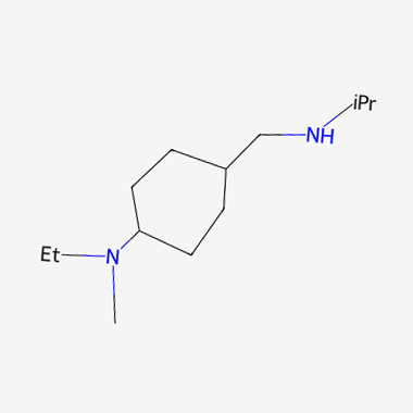 CCN(C)C1CCC(CNC(C)C)CC1